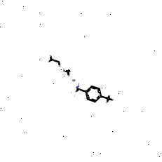 CC(C)COC(=O)O/N=C(\N)c1ccc(C(C)(C)C)cc1